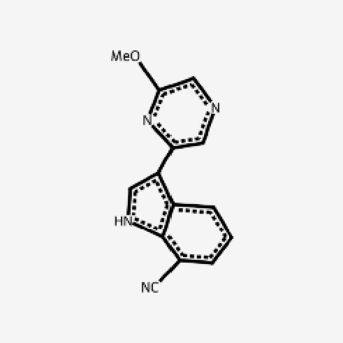 COc1cncc(-c2c[nH]c3c(C#N)cccc23)n1